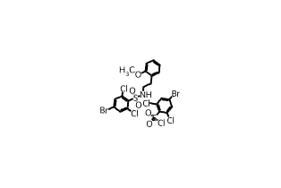 COc1ccccc1CCNS(=O)(=O)c1c(Cl)cc(Br)cc1Cl.O=S(=O)(Cl)c1c(Cl)cc(Br)cc1Cl